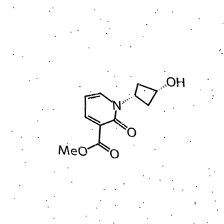 COC(=O)c1cccn([C@H]2C[C@@H](O)C2)c1=O